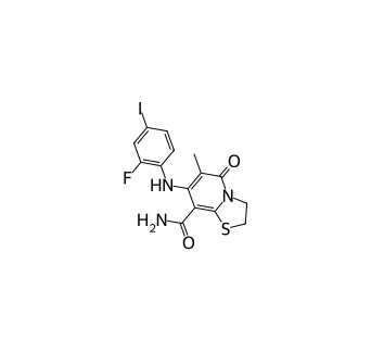 Cc1c(Nc2ccc(I)cc2F)c(C(N)=O)c2n(c1=O)CCS2